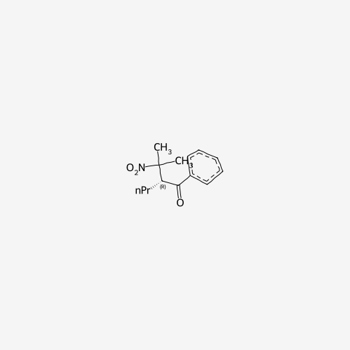 CCC[C@@H](C(=O)c1ccccc1)C(C)(C)[N+](=O)[O-]